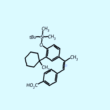 C/C(=C/c1ccc(C(=O)O)cc1)c1ccc(O[Si](C)(C)C(C)(C)C)c(C2(C)CCCCC2)c1